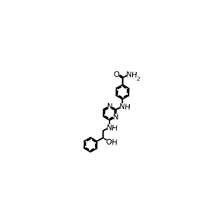 NC(=O)c1ccc(Nc2nccc(NC[C@@H](O)c3ccccc3)n2)cc1